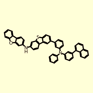 c1ccc(N(c2cccc(-c3ccc4sc5cc(Nc6ccc7c(c6)oc6ccccc67)ccc5c4c3)c2)c2cccc(-c3cccc4ccccc34)c2)cc1